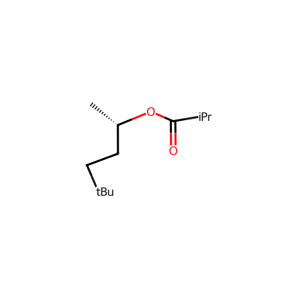 CC(C)C(=O)O[C@@H](C)CCC(C)(C)C